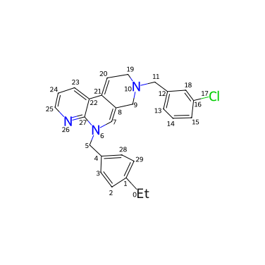 CCc1ccc(CN2C=C3CN(Cc4cccc(Cl)c4)CC=C3c3cccnc32)cc1